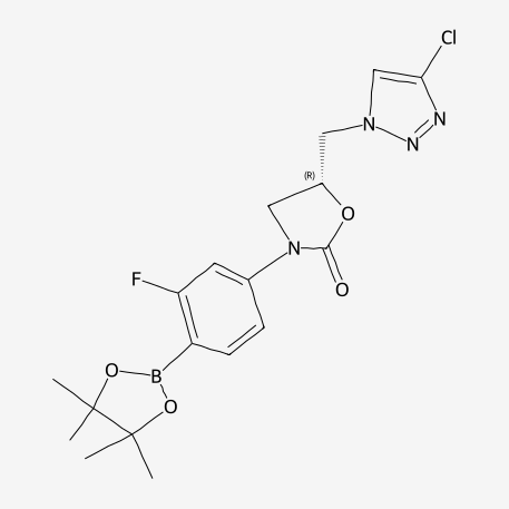 CC1(C)OB(c2ccc(N3C[C@H](Cn4cc(Cl)nn4)OC3=O)cc2F)OC1(C)C